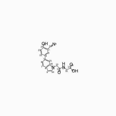 N#Cc1cc(-c2ccc3ccn(CC(=O)NCC(=O)O)c3c2)ccc1O